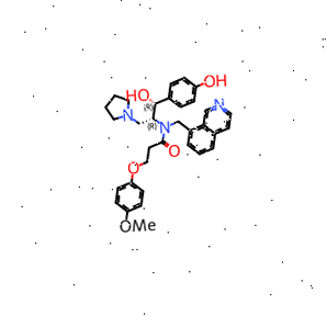 COc1ccc(OCCC(=O)N(Cc2cccc3ccncc23)[C@H](CN2CCCC2)[C@H](O)c2ccc(O)cc2)cc1